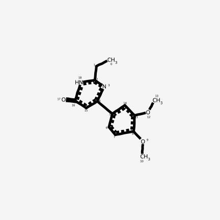 CCc1nc(-c2ccc(OC)c(OC)c2)cc(=O)[nH]1